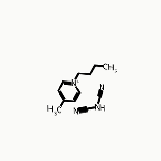 CCCC[n+]1ccc(C)cc1.N#CNC#N